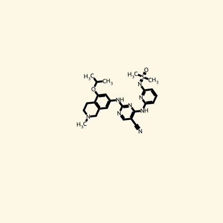 CC(C)Oc1cc(Nc2ncc(C#N)c(Nc3cccc(N=S(C)(C)=O)n3)n2)cc2c1CCN(C)C2